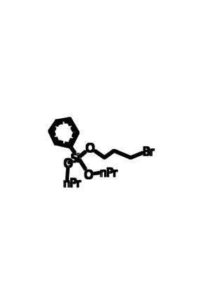 CCCO[Si](OCCC)(OCCCBr)c1ccccc1